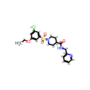 CCOc1cc(Cl)cc(S(=O)(=O)N2CCC(C(=O)NCc3ccccn3)CC2)c1